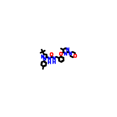 Cc1ccc(-n2nc(C(C)(C)C)cc2NC(=O)NCc2ccccc2Oc2nc(N3CCOCC3)ncc2C)cc1